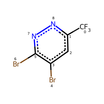 FC(F)(F)c1cc(Br)c(Br)nn1